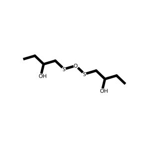 CCC(O)CSOSCC(O)CC